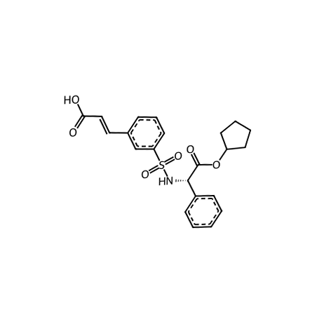 O=C(O)/C=C/c1cccc(S(=O)(=O)N[C@H](C(=O)OC2CCCC2)c2ccccc2)c1